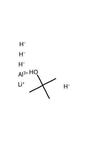 CC(C)(C)O.[Al+3].[H-].[H-].[H-].[H-].[Li+]